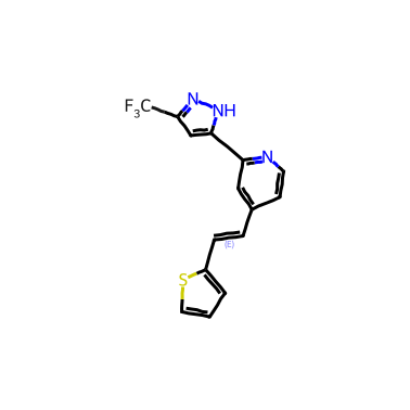 FC(F)(F)c1cc(-c2cc(/C=C/c3cccs3)ccn2)[nH]n1